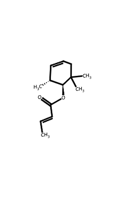 C/C=C/C(=O)O[C@H]1[C@H](C)C=CCC1(C)C